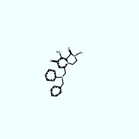 CC(C)N1CCn2c(CN(Cc3ccccc3)c3ccccc3)cc(=O)c(O)c2C1=O